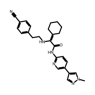 Cn1cc(-c2ccc(NC(=O)C(NCCc3ccc(C#N)cc3)=C3CCCCC3)nc2)cn1